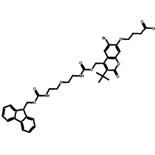 CC(C)(C)c1c(COC(=O)NCCOCCNC(=O)OCC2c3ccccc3-c3ccccc32)c2cc(Br)c(OCCCC(=O)O)cc2oc1=O